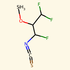 FC(F)C(O[SiH3])C(F)N=C=S